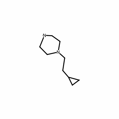 C1CN(CCC2CC2)CC[N]1